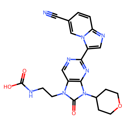 N#Cc1ccc2ncc(-c3ncc4c(n3)n(C3CCOCC3)c(=O)n4CCNC(=O)O)n2c1